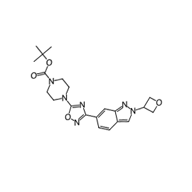 CC(C)(C)OC(=O)N1CCN(c2nc(-c3ccc4cn(C5COC5)nc4c3)no2)CC1